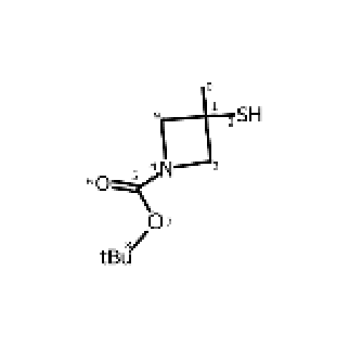 CC1(S)CN(C(=O)OC(C)(C)C)C1